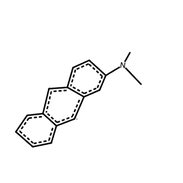 CN(C)c1ccc2cc3ccccc3[c]c2c1